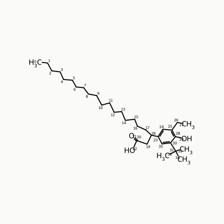 CCCCCCCCCCCCCCCCCCC(CC(=O)O)c1cc(CC)c(O)c(C(C)(C)C)c1